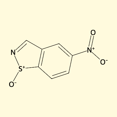 O=[N+]([O-])c1ccc2c(cn[s+]2[O-])c1